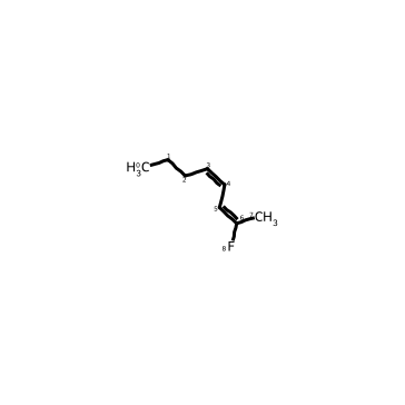 CCC/C=C\C=C(/C)F